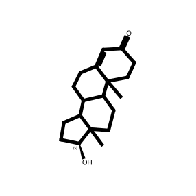 CC12CCC(=O)C=C1CCC1C2CCC2(C)C1CC[C@@H]2O